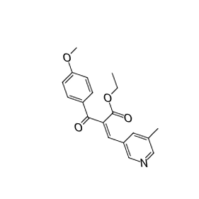 CCOC(=O)C(=Cc1cncc(C)c1)C(=O)c1ccc(OC)cc1